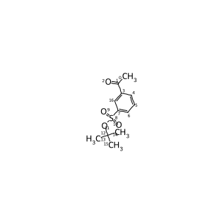 CC(=O)c1cccc(S(=O)(=O)OC(C)(C)C)c1